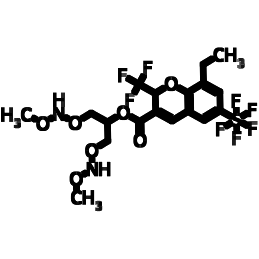 CCc1cc(S(F)(F)(F)(F)F)cc2c1OC(C(F)(F)F)C(C(=O)OC(CONOC)CONOC)=C2